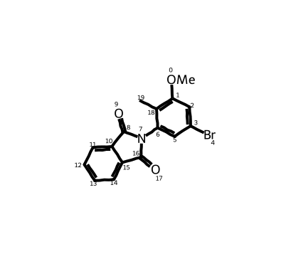 COc1cc(Br)cc(N2C(=O)c3ccccc3C2=O)c1C